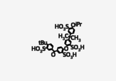 CC(C)Oc1ccc(C(C)(C)c2ccc(Oc3ccc(C(=O)c4ccc(C(C)(C)C)c(S(=O)(=O)O)c4)cc3S(=O)(=O)O)c(S(=O)(=O)O)c2)cc1S(=O)(=O)O